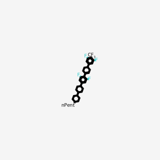 CCCCCC1CCC(C2CCC(c3cc(F)c(C4=CCC(c5cc(F)c(C(F)(F)F)c(F)c5)CC4)c(F)c3)CC2)CC1